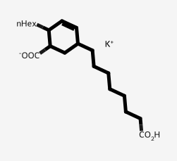 CCCCCCC1C=CC(CCCCCCCC(=O)O)CC1C(=O)[O-].[K+]